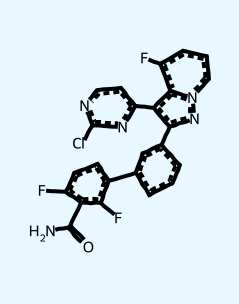 NC(=O)c1c(F)ccc(-c2cccc(-c3nn4cccc(F)c4c3-c3ccnc(Cl)n3)c2)c1F